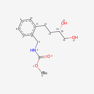 CC(C)(C)OC(=O)NCc1ccccc1CC[C@H](O)CO